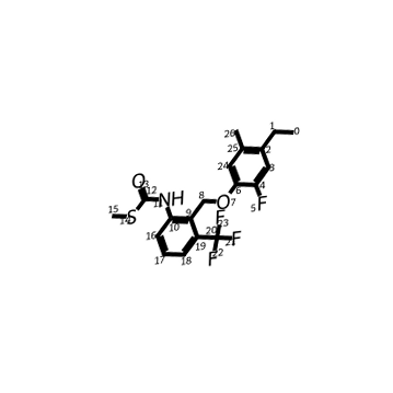 CCc1cc(F)c(OCc2c(NC(=O)SC)cccc2C(F)(F)F)cc1C